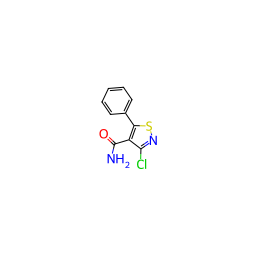 NC(=O)c1c(Cl)nsc1-c1ccccc1